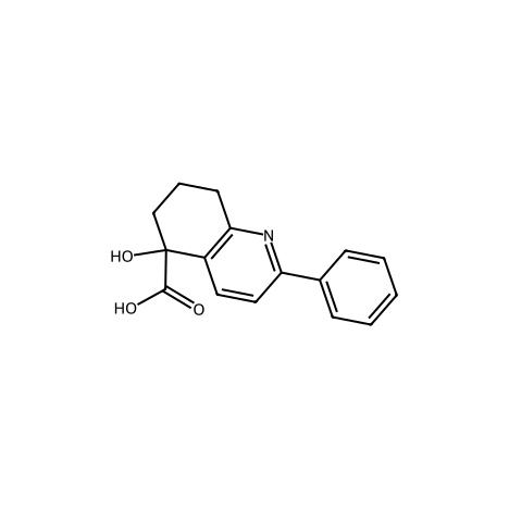 O=C(O)C1(O)CCCc2nc(-c3ccccc3)ccc21